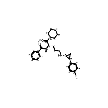 O=C(N[C@@H](CCCN[C@@H]1C[C@H]1c1ccc(F)cc1)C(=O)N1CCCCC1)c1ccccn1